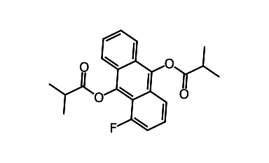 CC(C)C(=O)Oc1c2ccccc2c(OC(=O)C(C)C)c2c(F)cccc12